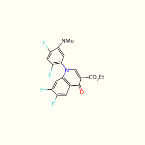 CCOC(=O)c1cn(-c2cc(NC)c(F)cc2F)c2cc(F)c(F)cc2c1=O